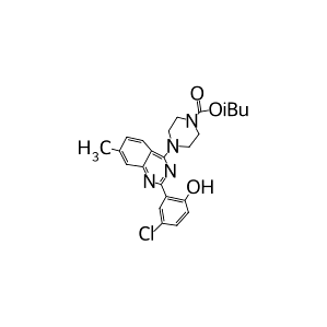 Cc1ccc2c(N3CCN(C(=O)OCC(C)C)CC3)nc(-c3cc(Cl)ccc3O)nc2c1